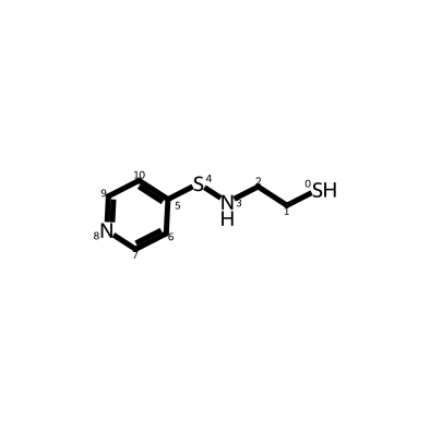 SCCNSc1ccncc1